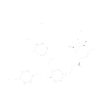 COc1ccc(COc2cnc(CNC(=O)[C@@H]3C=C(C)[C@@H]4CN3C(=O)N4OS(=O)(=O)O)cc2OCc2ccc(OC)cc2)cc1.[H+].[Na+]